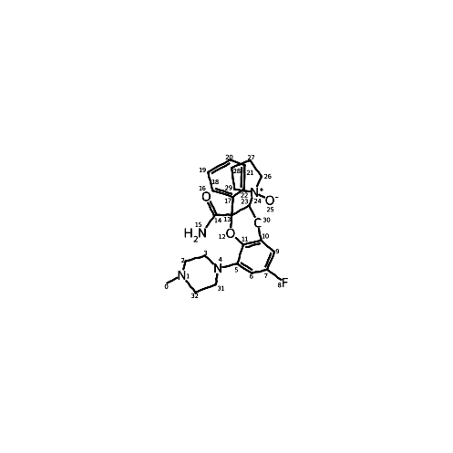 CN1CCN(c2cc(F)cc3c2OC(C(N)=O)(c2ccccc2)C([N+]2([O-])CCCC2)C3)CC1